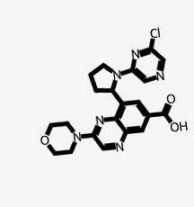 O=C(O)c1cc(C2CCCN2c2cncc(Cl)n2)c2nc(N3CCOCC3)cnc2c1